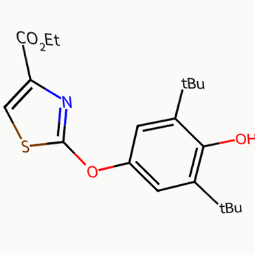 CCOC(=O)c1csc(Oc2cc(C(C)(C)C)c(O)c(C(C)(C)C)c2)n1